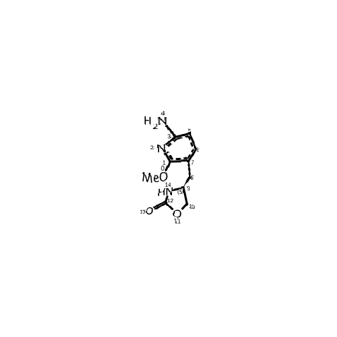 COc1nc(N)ccc1C[C@H]1COC(=O)N1